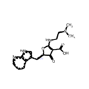 CN(C)CCNC1=C(C(=O)O)C(=O)/C(=C/c2c[nH]c3ncccc23)O1